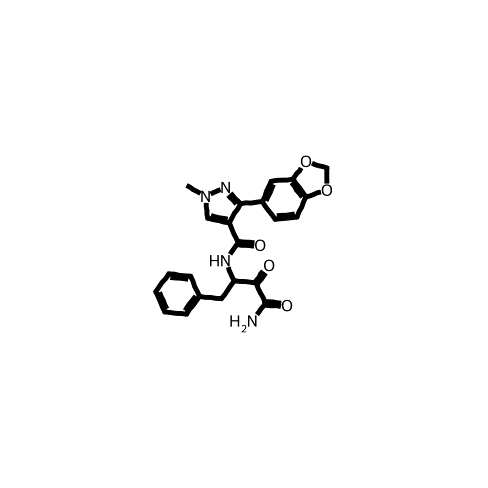 Cn1cc(C(=O)NC(Cc2ccccc2)C(=O)C(N)=O)c(-c2ccc3c(c2)OCO3)n1